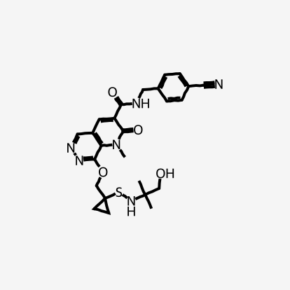 Cn1c(=O)c(C(=O)NCc2ccc(C#N)cc2)cc2cnnc(OCC3(SNC(C)(C)CO)CC3)c21